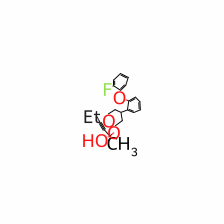 CCC#CC(C)(O)OC1CC(c2ccccc2Oc2ccccc2F)CCO1